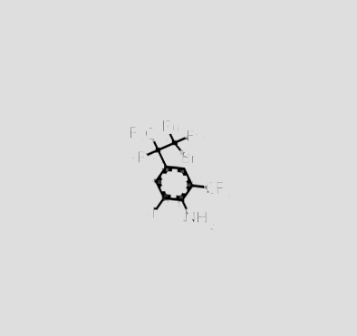 Nc1c(I)cc(C(F)(C(F)(F)F)C(F)(F)Br)cc1C(F)(F)F